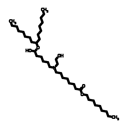 CCCCCCCCCOC(=O)CCCCCCCN(CCO)CCCCCC(O)OC(CCCCCCCC)CCCCCCCC